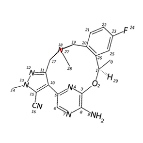 C[C@H]1Oc2nc(cnc2N)-c2c(nn(C)c2C#N)C2CC(c3ccc(F)cc31)N2C